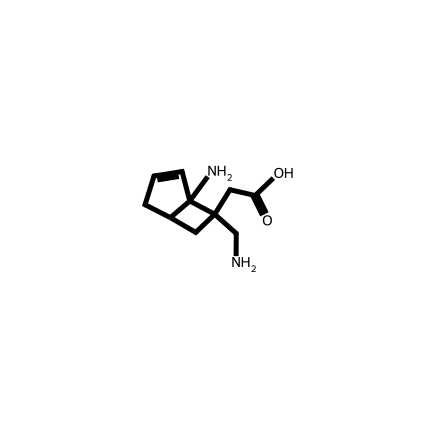 NCC1(CC(=O)O)CC2CC=CC21N